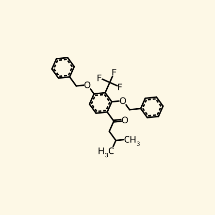 CC(C)CC(=O)c1ccc(OCc2ccccc2)c(C(F)(F)F)c1OCc1ccccc1